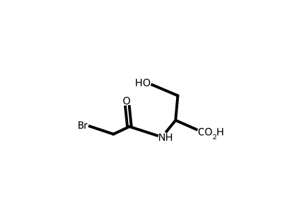 O=C(CBr)NC(CO)C(=O)O